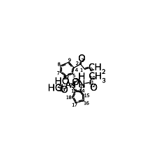 C=CC(=O)c1ccccc1.CC(=O)Nc1ccccc1[As](=O)(O)OO